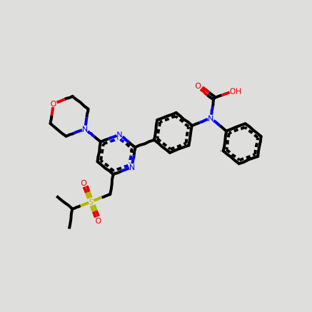 CC(C)S(=O)(=O)Cc1cc(N2CCOCC2)nc(-c2ccc(N(C(=O)O)c3[c]cccc3)cc2)n1